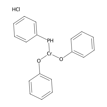 Cl.c1ccc([O][Cr]([O]c2ccccc2)[PH]c2ccccc2)cc1